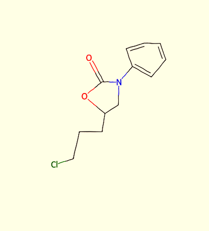 O=C1OC(CCCCl)CN1c1ccccc1